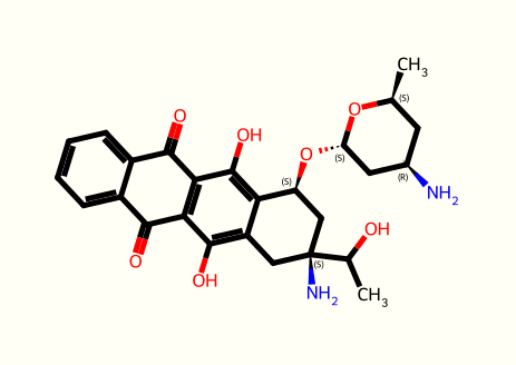 CC(O)[C@]1(N)Cc2c(O)c3c(c(O)c2[C@@H](O[C@H]2C[C@H](N)C[C@H](C)O2)C1)C(=O)c1ccccc1C3=O